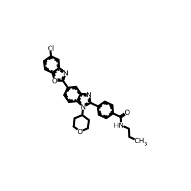 CCCNC(=O)c1ccc(-c2nc3cc(-c4nc5cc(Cl)ccc5o4)ccc3n2C2CCOCC2)cc1